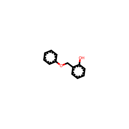 Oc1ccccc1COc1[c]cccc1